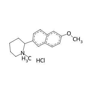 COc1ccc2cc(C3CCCCN3C)ccc2c1.Cl